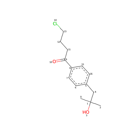 CC(C)(O)Cc1ccc(C(=O)CCCCl)cc1